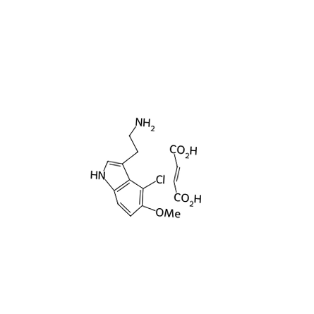 COc1ccc2[nH]cc(CCN)c2c1Cl.O=C(O)C=CC(=O)O